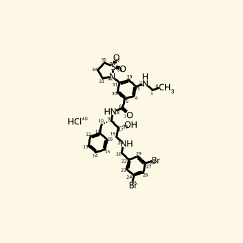 CCNc1cc(C(=O)N[C@@H](Cc2ccccc2)[C@H](O)CNCc2cc(Br)cc(Br)c2)cc(N2CCCS2(=O)=O)c1.Cl